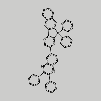 c1ccc(-c2nc3ccc(-c4ccc5c(c4)C(c4ccccc4)(c4ccccc4)c4cc6ccccc6cc4-5)cc3nc2-c2ccccc2)cc1